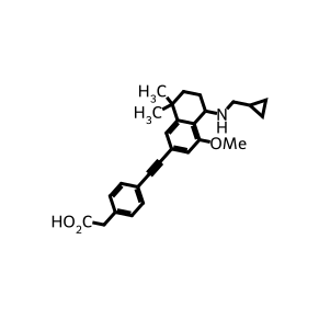 COc1cc(C#Cc2ccc(CC(=O)O)cc2)cc2c1C(NCC1CC1)CCC2(C)C